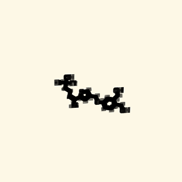 CC/C(=C/CCC(O)(CC)CC)c1cc(COc2ccc(CO)c(CO)c2)cs1